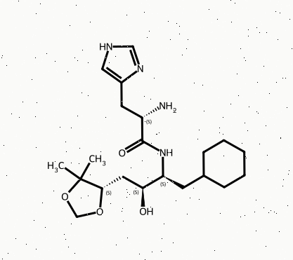 CC1(C)OCO[C@H]1C[C@H](O)[C@H](CC1CCCCC1)NC(=O)[C@@H](N)Cc1c[nH]cn1